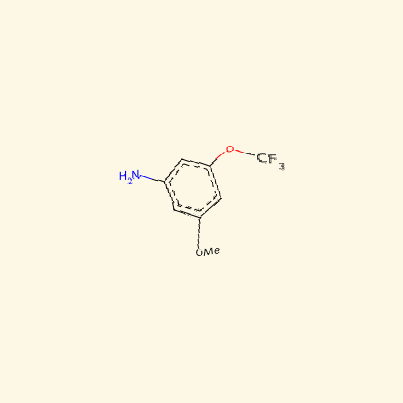 COc1cc(N)cc(OC(F)(F)F)c1